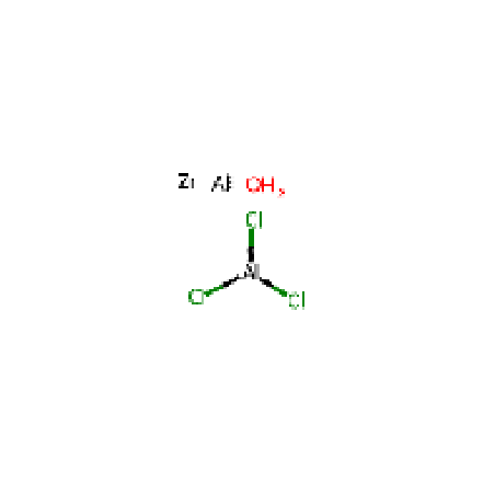 O.[Al].[Cl][Al]([Cl])[Cl].[Zr]